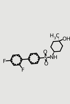 C[C@]1(O)CC[C@@H](NS(=O)(=O)c2ccc(-c3ccc(F)cc3F)cc2)CC1